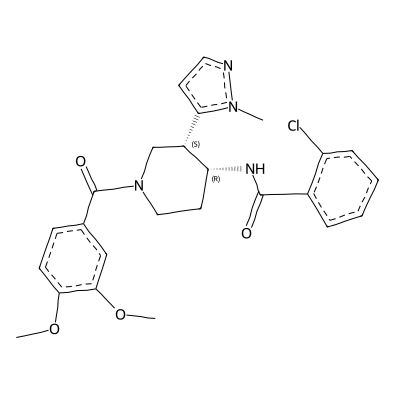 COc1ccc(C(=O)N2CC[C@@H](NC(=O)c3ccccc3Cl)[C@@H](c3ccnn3C)C2)cc1OC